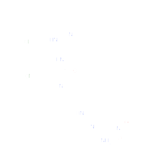 Nc1nc(NCCCn2ccc(-c3ccc(Cl)cc3Cl)c2C(=O)NCc2nc3ccccc3[nH]2)ccc1[N+](=O)[O-]